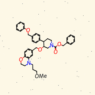 COCCCN1CCOc2ccc(COC3CN(C(=O)OCc4ccccc4)CCC3c3ccc(COc4ccccc4)cc3)cc21